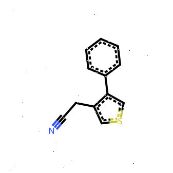 N#CCc1cscc1-c1ccccc1